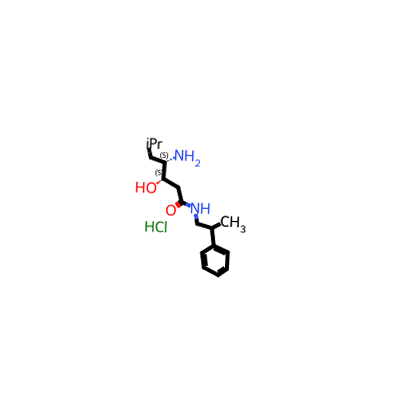 CC(C)C[C@H](N)[C@@H](O)CC(=O)NCC(C)c1ccccc1.Cl